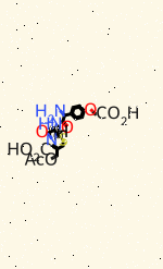 CC(=O)OCC1=C(C(=O)O)N2C(=O)[C@@H](NC(=O)C(N)c3ccc(OCC(=O)O)cc3)[C@@H]2SC1